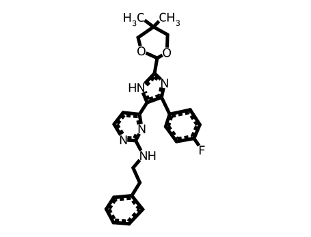 CC1(C)COC(c2nc(-c3ccc(F)cc3)c(-c3ccnc(NCCc4ccccc4)n3)[nH]2)OC1